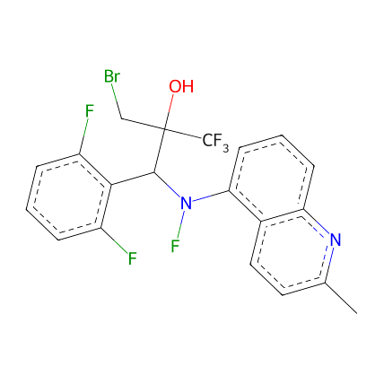 Cc1ccc2c(N(F)C(c3c(F)cccc3F)C(O)(CBr)C(F)(F)F)cccc2n1